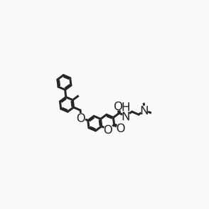 Cc1c(COc2ccc3oc(=O)c(C(=O)NCCN(C)C)cc3c2)cccc1-c1ccccc1